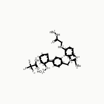 CCCCNC(=O)CNc1ccc2nc(CCCC)n(Cc3ccc(-c4ccccc4OC(=O)O)cc3)c2c1.O=C(O)C(F)(F)F